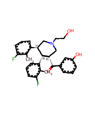 Cc1c(F)cccc1[C@H]1[C@@H](C(=O)c2cccc(O)c2)CN(CCO)C[C@@H]1c1cc[c]c(F)c1C